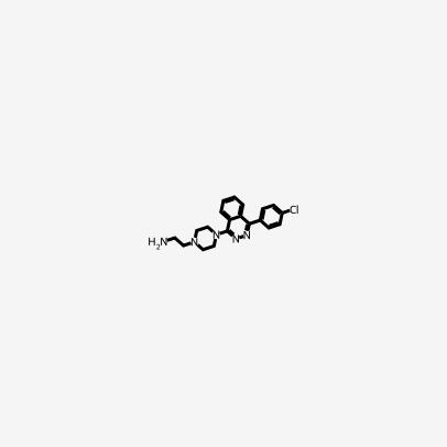 NCCN1CCN(c2nnc(-c3ccc(Cl)cc3)c3ccccc23)CC1